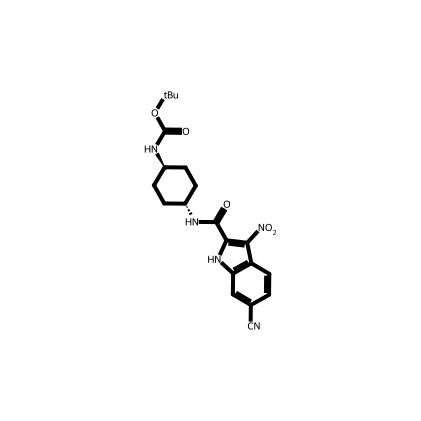 CC(C)(C)OC(=O)N[C@H]1CC[C@H](NC(=O)c2[nH]c3cc(C#N)ccc3c2[N+](=O)[O-])CC1